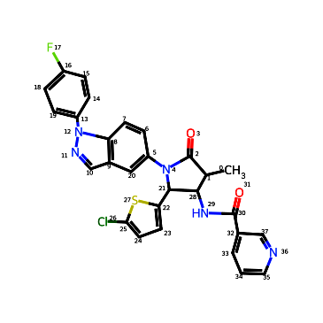 CC1C(=O)N(c2ccc3c(cnn3-c3ccc(F)cc3)c2)C(c2ccc(Cl)s2)C1NC(=O)c1cccnc1